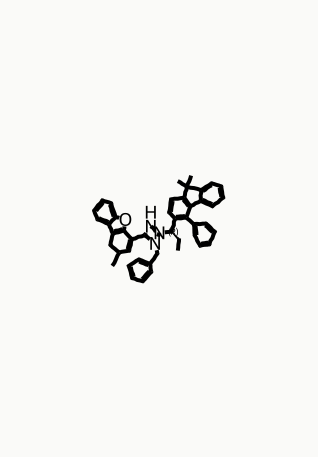 CC[C@H](c1ccc2c(c1-c1ccccc1)-c1ccccc1C2(C)C)N1NC(C2=CC(C)Cc3c2oc2ccccc32)N1Cc1ccccc1